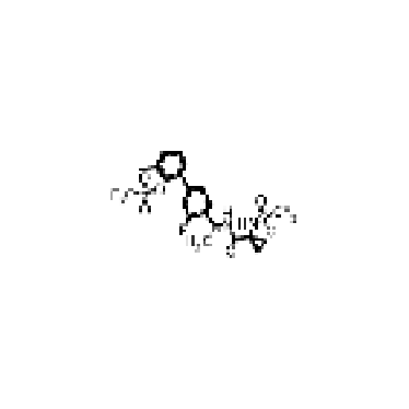 C[C@@H](NC(=O)C1(NS(=O)(=O)C(F)(F)F)CC1)c1ccc(-c2cccc(F)c2OS(=O)(=O)C(F)(F)F)cc1F